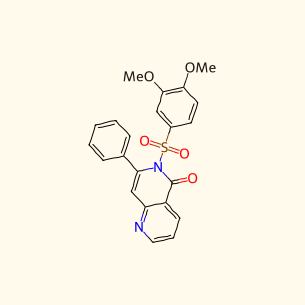 COc1ccc(S(=O)(=O)n2c(-c3ccccc3)cc3ncccc3c2=O)cc1OC